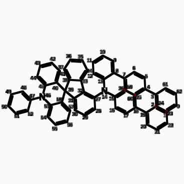 c1ccc(-c2ccc(-c3ccccc3N(c3ccc(-c4ccccc4)cc3)c3cccc4c3-c3ccccc3C43c4ccccc4N(c4ccccc4)c4ccccc43)cc2)cc1